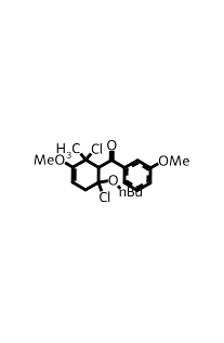 CCCCOC1(Cl)CC=C(OC)C(C)(Cl)C1C(=O)c1cccc(OC)c1